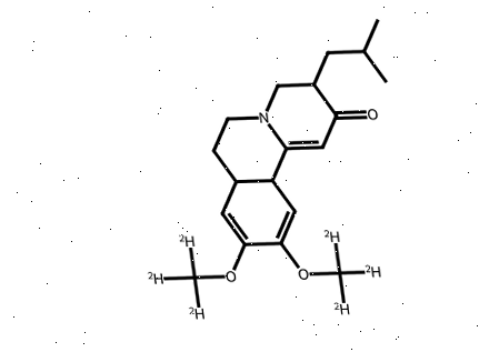 [2H]C([2H])([2H])OC1=CC2CCN3CC(CC(C)C)C(=O)C=C3C2C=C1OC([2H])([2H])[2H]